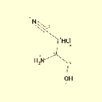 Cl.N#CCC(N)CO